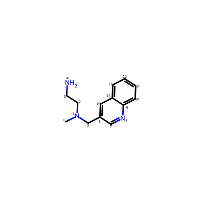 CN(CCN)Cc1cnc2ccccc2c1